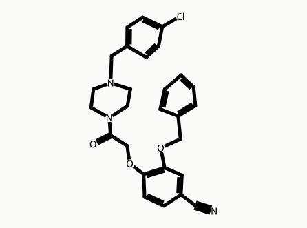 N#Cc1ccc(OCC(=O)N2CCN(Cc3ccc(Cl)cc3)CC2)c(OCc2ccccc2)c1